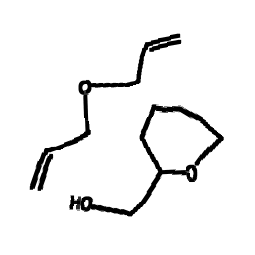 C=CCOCC=C.OCC1CCCCO1